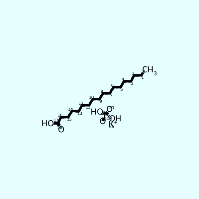 CCCCCCCCCCCCCCCCCC(=O)O.O=P([O-])(O)O.[K+]